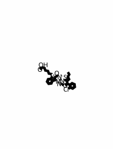 CCc1cc(C(=O)c2ccccc2Cl)c(-n2c(C)nnc2N(C)C(=O)c2cc3ccccc3n2CCCCCC(=O)O)s1